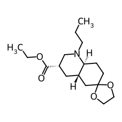 CCCN1C[C@@H](C(=O)OCC)C[C@H]2CC3(CC[C@@H]21)OCCO3